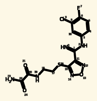 N=C(Nc1ccc(F)c(Cl)c1)c1nonc1SCCNC(=O)C(N)=O